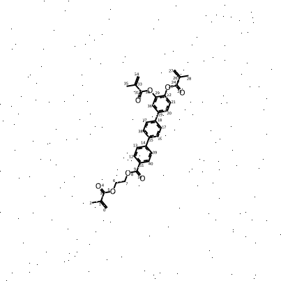 C=C(C)C(=O)OCCOC(=O)c1ccc(-c2ccc(-c3ccc(OC(=O)C(=C)C)c(OC(=O)C(=C)C)c3)cc2)cc1